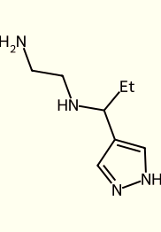 CCC(NCCN)c1cn[nH]c1